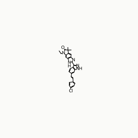 CCN1C(=O)C(C)(C)c2cc3nc(-c4n[nH]c5cc(/C=C/c6ccc(Cl)cc6)ccc45)[nH]c3cc21